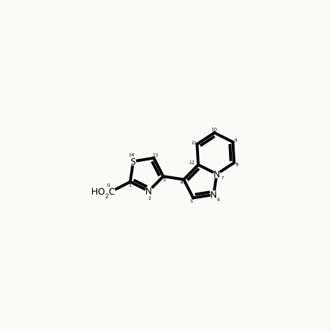 O=C(O)c1nc(-c2cnn3ccccc23)cs1